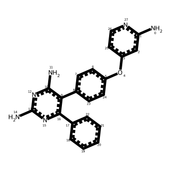 Nc1cc(Oc2ccc(-c3c(N)nc(N)nc3-c3ccccc3)cc2)ccn1